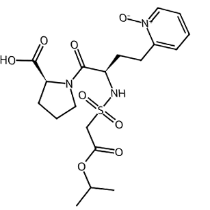 CC(C)OC(=O)CS(=O)(=O)N[C@H](CCc1cccc[n+]1[O-])C(=O)N1CCC[C@H]1C(=O)O